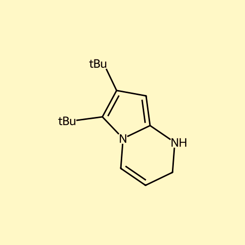 CC(C)(C)c1cc2n(c1C(C)(C)C)C=CCN2